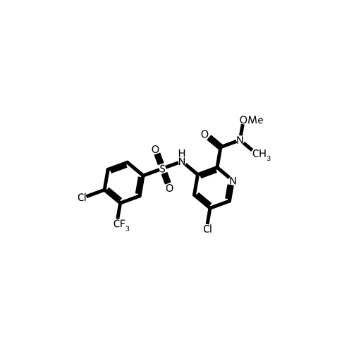 CON(C)C(=O)c1ncc(Cl)cc1NS(=O)(=O)c1ccc(Cl)c(C(F)(F)F)c1